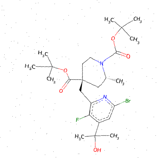 C[C@@H]1C[C@](Cc2nc(Br)cc(C(C)(C)O)c2F)(C(=O)OC(C)(C)C)CCN1C(=O)OC(C)(C)C